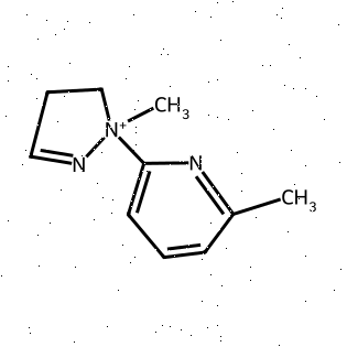 Cc1cccc([N+]2(C)CCC=N2)n1